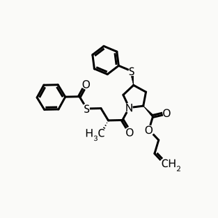 C=CCOC(=O)[C@@H]1C[C@H](Sc2ccccc2)CN1C(=O)[C@H](C)CSC(=O)c1ccccc1